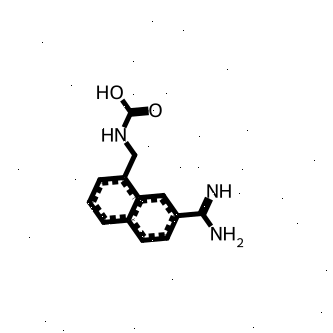 N=C(N)c1ccc2cccc(CNC(=O)O)c2c1